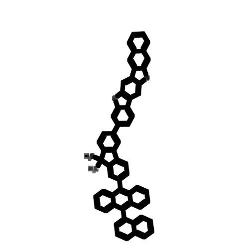 CC1(C)c2ccc(-c3ccc4c(c3)oc3cc5c(cc34)oc3cc4ccccc4cc35)cc2-c2ccc(-c3c4ccccc4c(-c4cccc5ccccc45)c4ccccc34)cc21